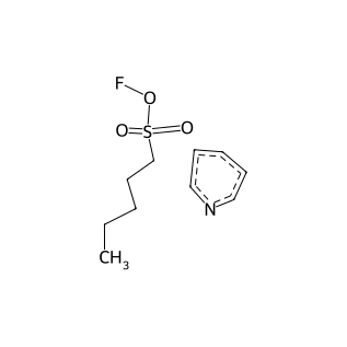 CCCCCS(=O)(=O)OF.c1ccncc1